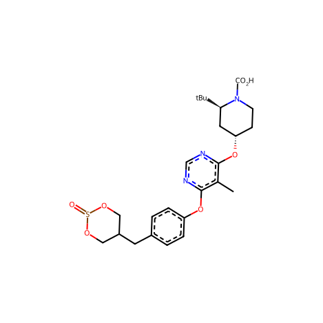 Cc1c(Oc2ccc(CC3COS(=O)OC3)cc2)ncnc1O[C@H]1CCN(C(=O)O)[C@H](C(C)(C)C)C1